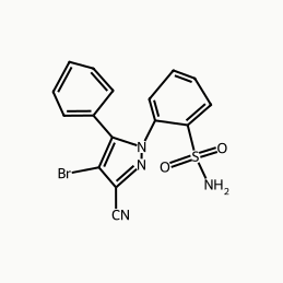 N#Cc1nn(-c2ccccc2S(N)(=O)=O)c(-c2ccccc2)c1Br